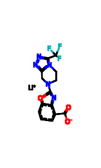 O=C([O-])c1cccc2oc(N3CCn4c(nnc4C(F)(F)F)C3)nc12.[Li+]